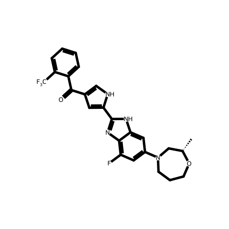 C[C@H]1CN(c2cc(F)c3nc(-c4cc(C(=O)c5ccccc5C(F)(F)F)c[nH]4)[nH]c3c2)CCCO1